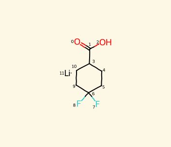 O=C(O)C1CCC(F)(F)CC1.[Li]